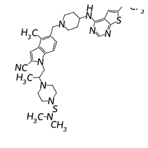 Cc1c(CN2CCC(Nc3ncnc4sc(CC(F)(F)F)cc34)CC2)ccc2c1cc(C#N)n2CC(C)N1CCN(SN(C)C)CC1